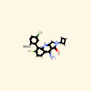 COc1ccc(Cl)cc1-c1c(F)ccc2c(N)c3c(nc12)CN(C1CCC1)C3=O